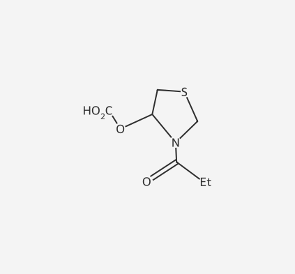 CCC(=O)N1CSCC1OC(=O)O